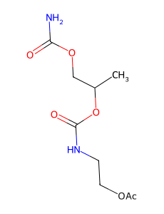 CC(=O)OCCNC(=O)OC(C)COC(N)=O